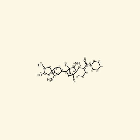 N[C@@H]1C2CC(CC2C2C[C@@H]3C[C@H]2[C@@H](N)[C@]32CCCC(C(=O)N3CCCCC3)C2)C12CC(O)[C@@H](O)C2